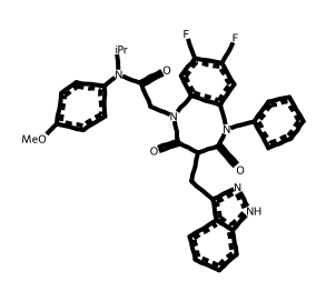 COc1ccc(N(C(=O)CN2C(=O)C(Cc3n[nH]c4ccccc34)C(=O)N(c3ccccc3)c3cc(F)c(F)cc32)C(C)C)cc1